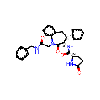 O=C(CN1C(=O)[C@@H](NC(=O)[C@@H]2CCC(=O)N2)[C@@H](c2ccccc2)Cc2ccccc21)NCc1ccccc1